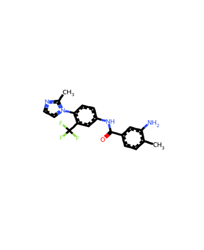 Cc1ccc(C(=O)Nc2ccc(-n3ccnc3C)c(C(F)(F)F)c2)cc1N